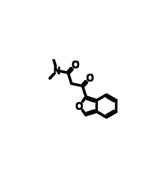 CN(C)C(=O)CC(=O)c1occ2ccccc12